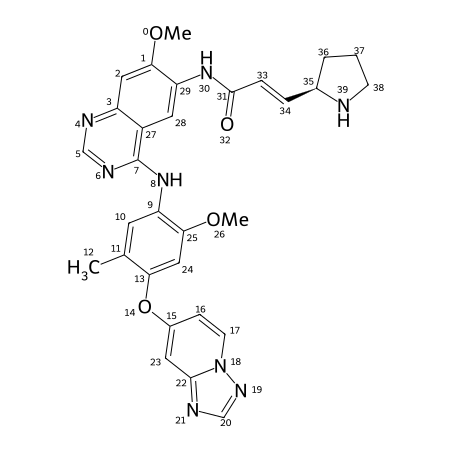 COc1cc2ncnc(Nc3cc(C)c(Oc4ccn5ncnc5c4)cc3OC)c2cc1NC(=O)/C=C/[C@H]1CCCN1